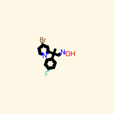 CC(C=NO)(c1ccc(F)cc1)c1cc(Br)ccn1